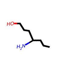 CCCC(N)CCCO